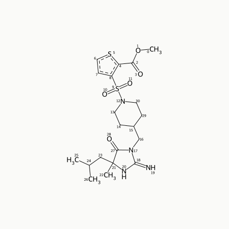 COC(=O)c1sccc1S(=O)(=O)N1CCC(CN2C(=N)NC(C)(CC(C)C)C2=O)CC1